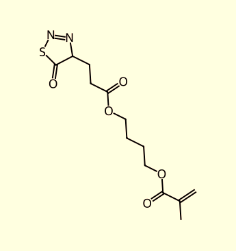 C=C(C)C(=O)OCCCCOC(=O)CCC1N=NSC1=O